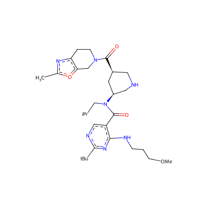 COCCCNc1nc(C(C)(C)C)ncc1C(=O)N(CC(C)C)[C@@H]1CNC[C@H](C(=O)N2CCc3nc(C)oc3C2)C1